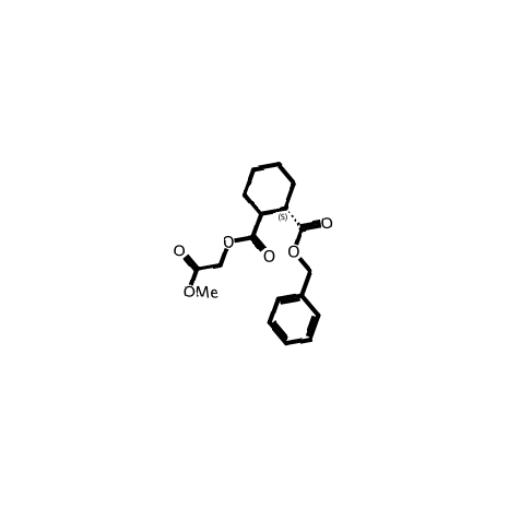 COC(=O)COC(=O)C1CCCC[C@@H]1C(=O)OCc1ccccc1